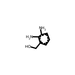 Nc1cccc(CO)c1N